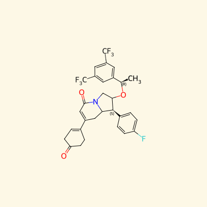 C[C@@H](OC1CN2C(=O)C=C(C3=CCC(=O)CC3)CC2[C@@H]1c1ccc(F)cc1)c1cc(C(F)(F)F)cc(C(F)(F)F)c1